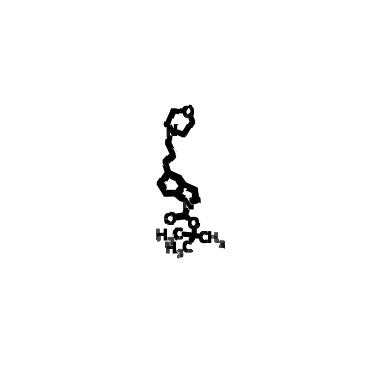 CC(C)(C)OC(=O)n1ccc2cc(C=CCN3CCOCC3)ccc21